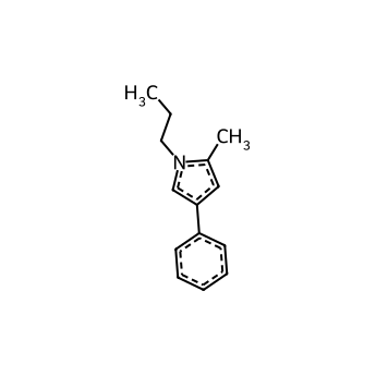 CCCn1cc(-c2ccccc2)cc1C